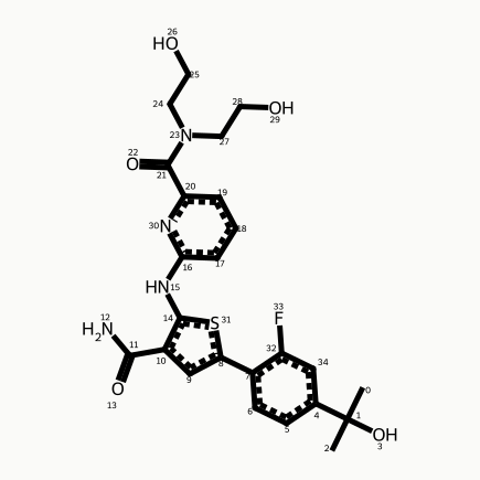 CC(C)(O)c1ccc(-c2cc(C(N)=O)c(Nc3cccc(C(=O)N(CCO)CCO)n3)s2)c(F)c1